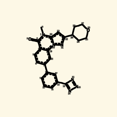 Cn1c(=O)c2ccc(-c3cccc(C4=NN=N4)c3)cc2n2nc(C3CCOCC3)cc12